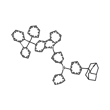 c1ccc(N(c2ccc(-n3c4ccccc4c4cc(C5(c6ccccc6)c6ccccc6-c6ccccc65)ccc43)cc2)c2ccc(C34CC5CC(CC(C5)C3)C4)cc2)cc1